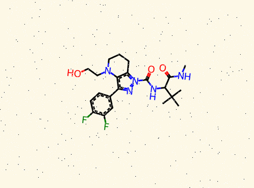 CNC(=O)C(NC(=O)n1nc(-c2ccc(F)c(F)c2)c2c1CCCN2CCO)C(C)(C)C